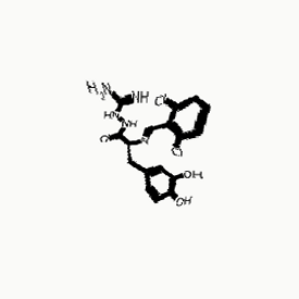 N=C(N)NNC(=O)[C@H](Cc1ccc(O)c(O)c1)N=Cc1c(Cl)cccc1Cl